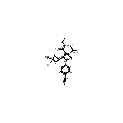 CCNC(=O)c1c(C2CC(F)(F)C2)c(-c2ccc(C#N)cc2)nn1C(C)C